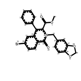 COC(=O)c1c(-c2ccccc2)c2cc(Br)ccc2c(=O)n1Cc1ccc2c(c1)OCO2